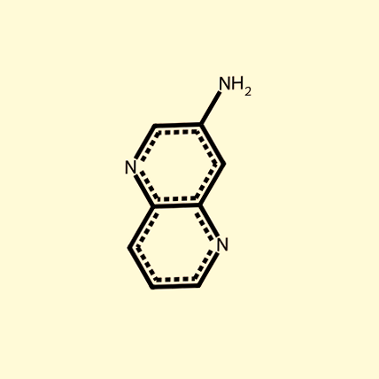 Nc1cnc2cccnc2c1